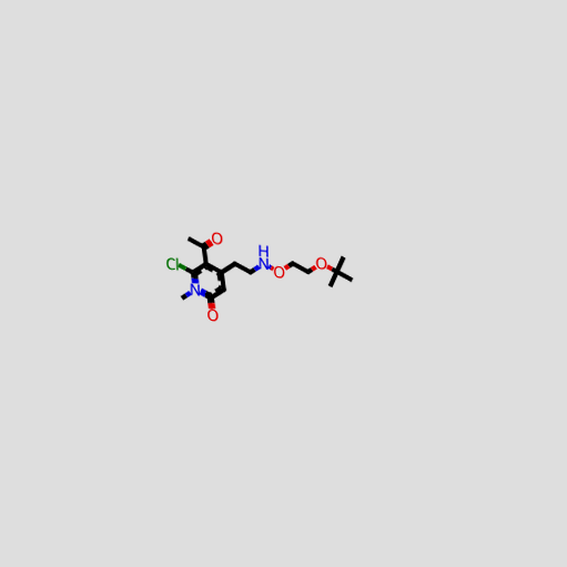 CC(=O)c1c(CCNOCCOC(C)(C)C)cc(=O)n(C)c1Cl